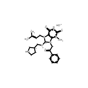 CC(C)=CCN1c2c(n(C)c(=O)[nH]c2=O)N(CC(=O)c2ccccc2)C1OCC1CCNC1.Cl